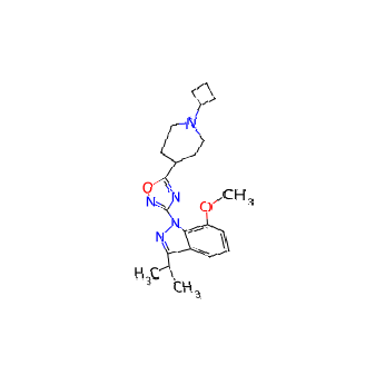 COc1cccc2c(C(C)C)nn(-c3noc(C4CCN(C5CCC5)CC4)n3)c12